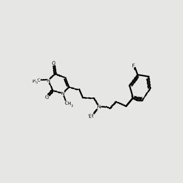 CCN(CCCc1cccc(F)c1)CCCc1cc(=O)n(C)c(=O)n1C